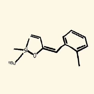 C=C/C(=C\c1ccccc1C)O[Si](C)(C)C(C)(C)C